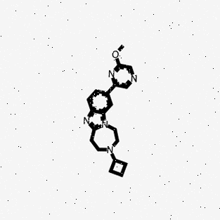 COc1cncc(-c2ccc3nc4n(c3c2)CCN(C2CCC2)CC4)n1